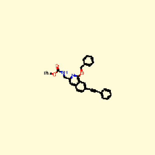 CC(C)(C)OC(=O)NCc1cc2ccc(C#Cc3ccccc3)cc2c(OCc2ccccc2)n1